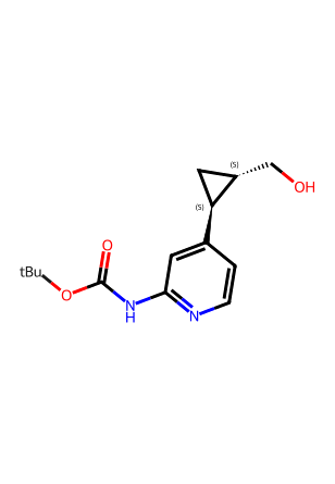 CC(C)(C)OC(=O)Nc1cc([C@H]2C[C@@H]2CO)ccn1